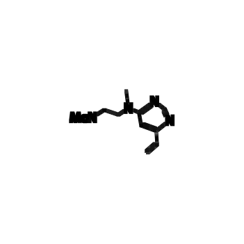 C=Cc1cc(N(C)CCNC)ncn1